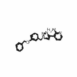 Nc1ncccc1-c1cn(Cc2cccc(OCc3ccccc3)c2)nn1